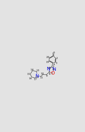 Cc1ccc(-c2noc(CCCN3CCCCC3)n2)cc1